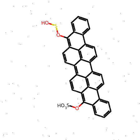 O=S(=O)(O)Oc1c2ccccc2c2ccc3c4ccc5c6ccccc6c(OSO)c6ccc(c7ccc1c2c73)c4c65